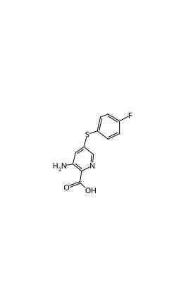 Nc1cc(Sc2ccc(F)cc2)cnc1C(=O)O